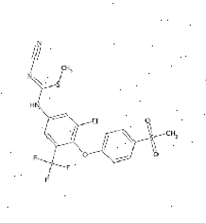 CS/C(=N\C#N)Nc1cc(Cl)c(Oc2ccc(S(C)(=O)=O)cc2)c(C(F)(F)F)c1